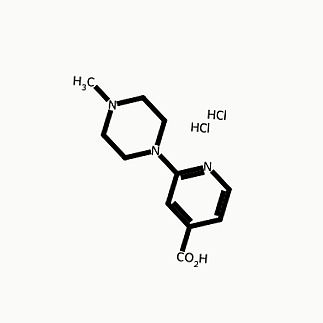 CN1CCN(c2cc(C(=O)O)ccn2)CC1.Cl.Cl